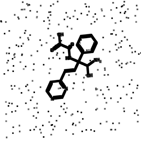 NC(O)C(C=Cc1ccncn1)(NC(=O)C(=O)O)c1ccccc1